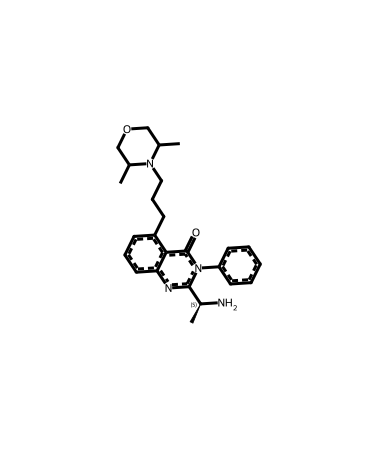 CC1COCC(C)N1CCCc1cccc2nc([C@H](C)N)n(-c3ccccc3)c(=O)c12